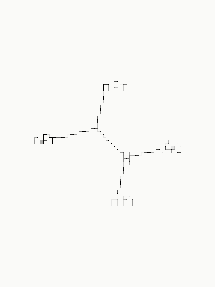 CCCC(CCC)N(CCC)C(C)=O